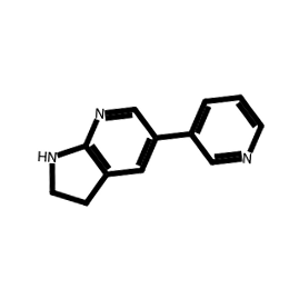 c1cncc(-c2cnc3c(c2)CCN3)c1